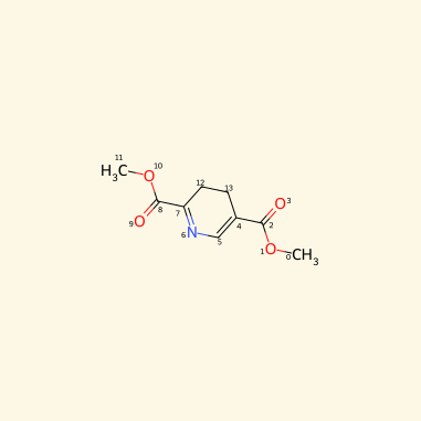 COC(=O)C1=CN=C(C(=O)OC)CC1